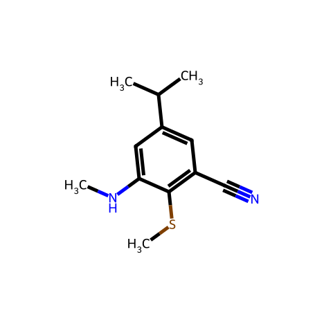 CNc1cc(C(C)C)cc(C#N)c1SC